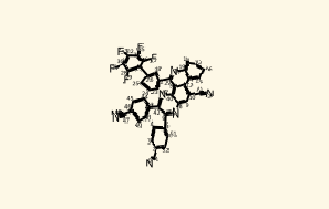 N#Cc1ccc(-c2nc3cc(C#N)c4c5ccccc5nc(-c5cccc(-c6c(F)c(F)c(F)c(F)c6F)c5)c4c3nc2-c2ccc(C#N)cc2)cc1